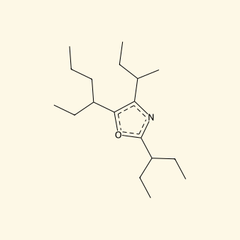 CCCC(CC)c1oc(C(CC)CC)nc1C(C)CC